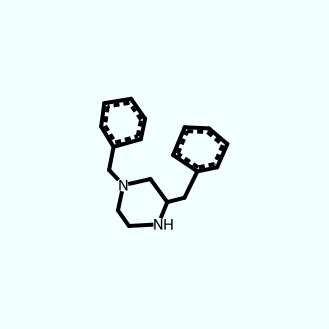 c1ccc(CC2CN(Cc3ccccc3)CCN2)cc1